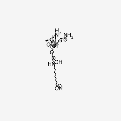 C#CC(CCCN)[C@H](NC(=O)[C@@H](C)CSCC(N)=O)C(=O)NCCOCCOCC(O)NCCCCCCCCCCC(=O)O